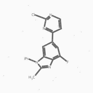 Cc1nc2c(F)cc(-c3ccnc(Cl)n3)cc2n1C(C)C